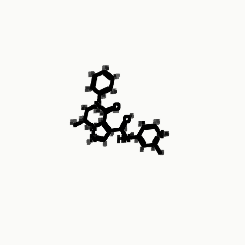 Cc1cc(NC(=O)c2cnn3c2C(=O)N(c2ccccc2)C[C@@H]3C)ccn1